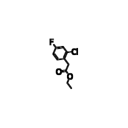 CCOC(=O)Cc1ccc(F)cc1Cl